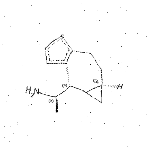 C[C@@H](N)[C@@H]1c2ccsc2CC[C@H]2CC21